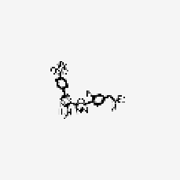 CCNCc1ccc(-c2nnc(-c3nc(-c4ccc(S(=O)(=O)C(C)C)cc4)cnc3N)o2)c(F)c1